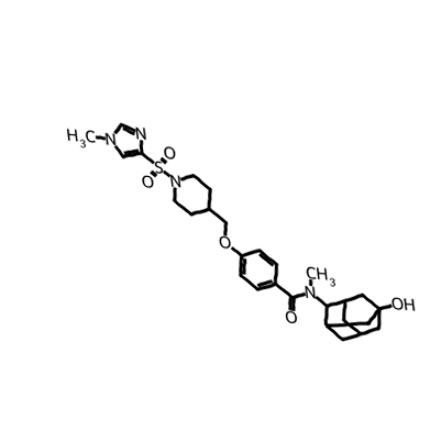 CN(C(=O)c1ccc(OCC2CCN(S(=O)(=O)c3cn(C)cn3)CC2)cc1)C1C2CC3CC1CC(O)(C3)C2